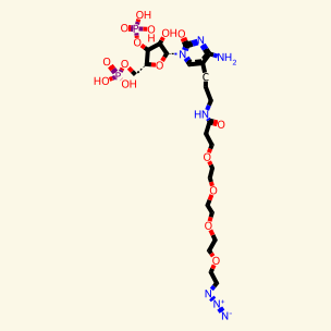 [N-]=[N+]=NCCOCCOCCOCCOCCC(=O)NCCCc1cn([C@@H]2O[C@H](COP(=O)(O)O)C(OP(=O)(O)O)C2O)c(=O)nc1N